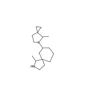 CC1NCCC12CCCC(N1CCC3(CC3)C1C)C2